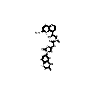 COc1ccc2nccc(C(O)CN(C)C(=O)CC3CN(c4ccc5c(c4)NC(=O)CS5)C(=O)O3)c2n1